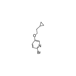 Brc1ccc(OCCC2CC2)cn1